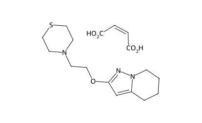 O=C(O)/C=C\C(=O)O.c1c(OCCN2CCSCC2)nn2c1CCCC2